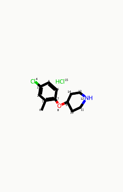 Cc1cc(Cl)ccc1OC1CCNCC1.Cl